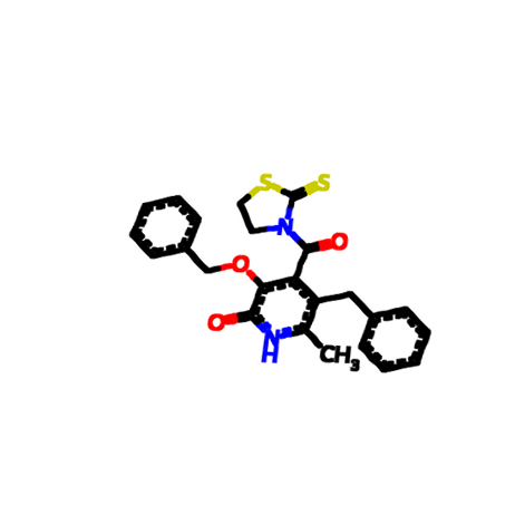 Cc1[nH]c(=O)c(OCc2ccccc2)c(C(=O)N2CCSC2=S)c1Cc1ccccc1